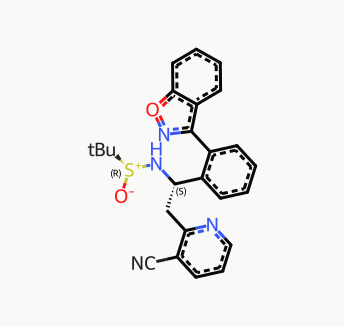 CC(C)(C)[S@+]([O-])N[C@@H](Cc1ncccc1C#N)c1ccccc1-c1noc2ccccc12